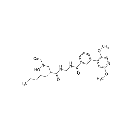 CCCCC[C@H](CN(O)C=O)C(=O)NCNC(=O)c1cccc(-c2cc(OC)nnc2OC)c1